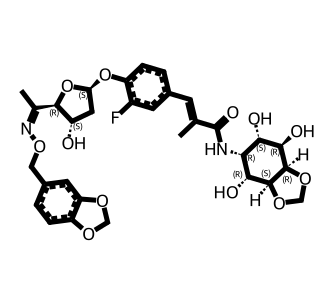 CC(=Cc1ccc(O[C@H]2C[C@H](O)[C@@H](C(C)=NOCc3ccc4c(c3)OCO4)O2)c(F)c1)C(=O)N[C@@H]1[C@H](O)[C@@H](O)[C@H]2OCO[C@H]2[C@@H]1O